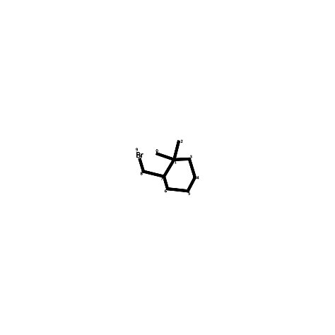 CC1(C)CCCCC1CBr